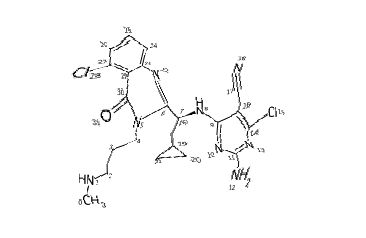 CNCCCn1c([C@@H](Nc2nc(N)nc(Cl)c2C#N)C2CC2)nc2cccc(Cl)c2c1=O